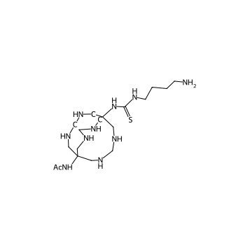 CC(=O)NC12CNCNCC(NC(=S)NCCCCN)(CNCNC1)CNCNC2